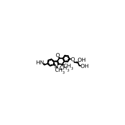 Cn1c2c(c3ccc(C=N)cc31)C(=O)c1ccc(OC[C@H](O)CO)cc1C2(C)C